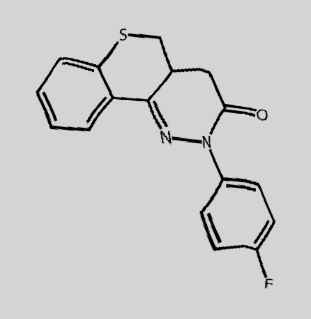 O=C1CC2CSc3ccccc3C2=NN1c1ccc(F)cc1